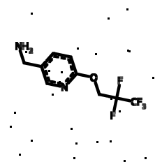 NCc1ccc(OCC(F)(F)C(F)(F)F)nc1